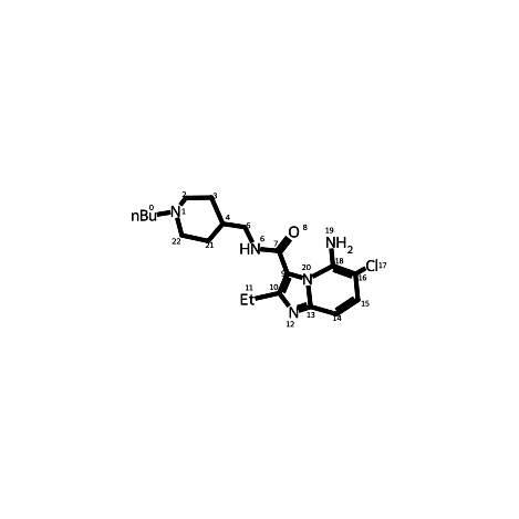 CCCCN1CCC(CNC(=O)c2c(CC)nc3ccc(Cl)c(N)n23)CC1